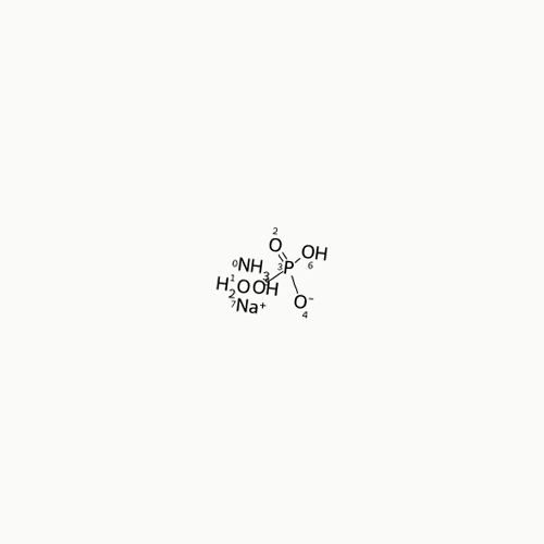 N.O.O=P([O-])(O)O.[Na+]